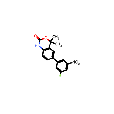 CC1(C)OC(=O)Nc2ccc(-c3cc(F)cc([N+](=O)[O-])c3)cc21